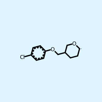 Clc1ccc(OCC2CC[CH]OC2)cc1